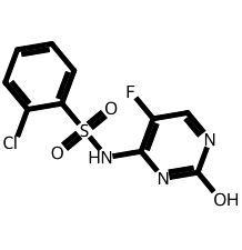 O=S(=O)(Nc1nc(O)ncc1F)c1ccccc1Cl